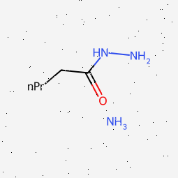 CCCCC(=O)NN.N